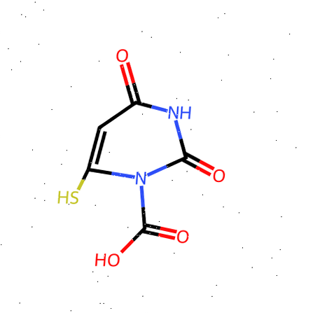 O=C(O)n1c(S)cc(=O)[nH]c1=O